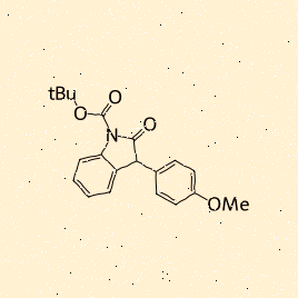 COc1ccc(C2C(=O)N(C(=O)OC(C)(C)C)c3ccccc32)cc1